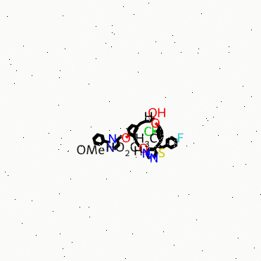 COc1ccccc1-c1nccc(COc2ccc3cc2C[C@H](C(=O)O)Oc2ncnc4sc(-c5ccc(F)cc5)c(c24)-c2ccc(c(Cl)c2C)O[C@H](CO)CC3)n1